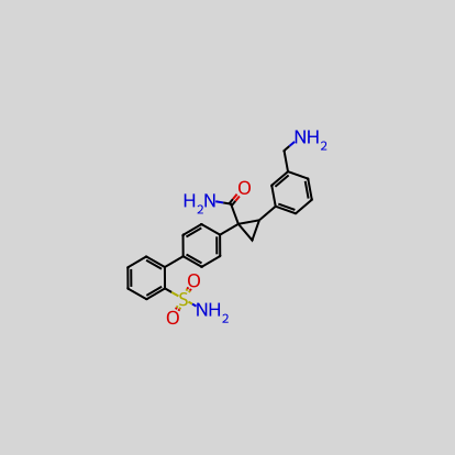 NCc1cccc(C2CC2(C(N)=O)c2ccc(-c3ccccc3S(N)(=O)=O)cc2)c1